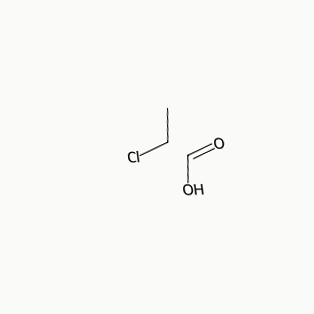 CCCl.O=CO